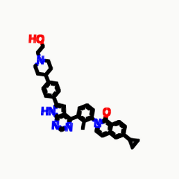 Cc1c(-c2ncnc3[nH]c(-c4ccc(C5CCN(CCO)CC5)cc4)cc23)cccc1-n1ccc2cc(C3CC3)ccc2c1=O